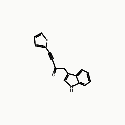 O=C(C#Cc1cccs1)Cc1c[nH]c2ccccc12